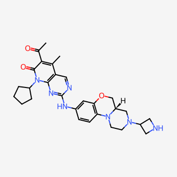 CC(=O)c1c(C)c2cnc(Nc3ccc4c(c3)OC[C@@H]3CN(C5CNC5)CCN43)nc2n(C2CCCC2)c1=O